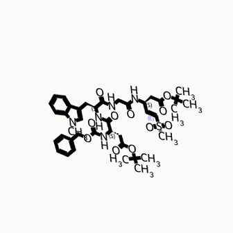 Cn1cc(C[C@H](NC(=O)[C@H](CC(=O)OC(C)(C)C)NC(=O)OCc2ccccc2)C(=O)NCC(=O)N[C@H](/C=C/S(C)(=O)=O)CC(=O)OC(C)(C)C)c2ccccc21